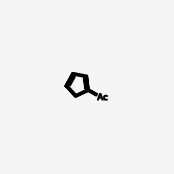 [CH2]C(=O)C1=CC=CC1